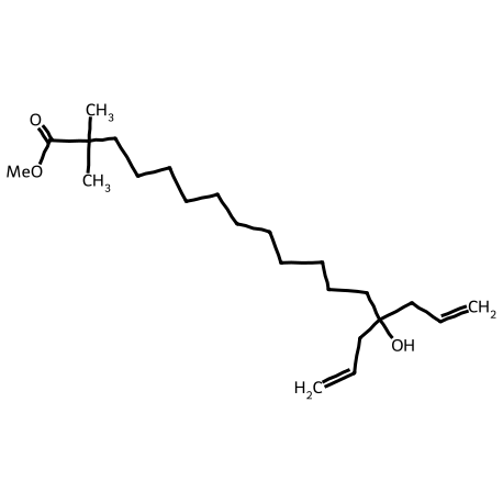 C=CCC(O)(CC=C)CCCCCCCCCCCC(C)(C)C(=O)OC